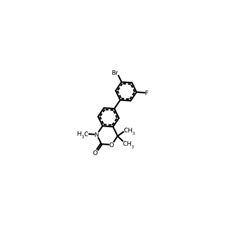 CN1C(=O)OC(C)(C)c2cc(-c3cc(F)cc(Br)c3)ccc21